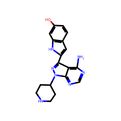 Nc1ncnc2c1c(-c1cc3ccc(O)cc3[nH]1)nn2C1CCNCC1